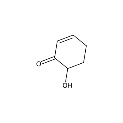 O=C1C=CCCC1O